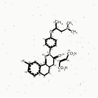 CC(CN(C)C)Oc1ccc(N2N=C3c4cc(F)ccc4CCC3CC2=O)cc1.O=C(O)/C=C/C(=O)O